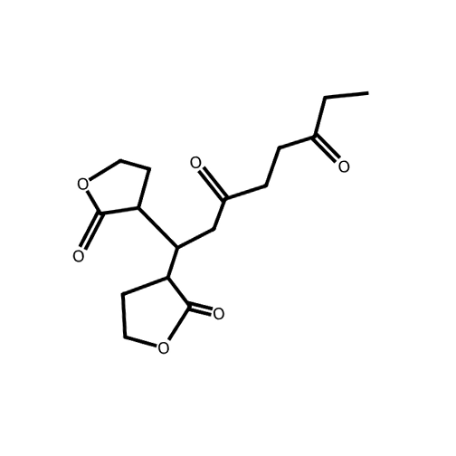 CCC(=O)CCC(=O)CC(C1CCOC1=O)C1CCOC1=O